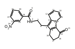 O=C(NCCc1c2c(n3ccccc13)C(=O)CCC2)c1cccc([N+](=O)[O-])c1